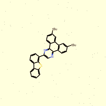 CC(C)(C)c1ccc2c(c1)c1cc(C(C)(C)C)ccc1c1nc(-c3cccc4c3sc3ccccc34)cnc21